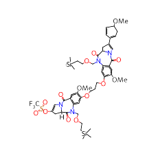 COc1cc2c(cc1OCCCOc1cc3c(cc1OC)C(=O)N1C=C(OS(=O)(=O)C(F)(F)F)C[C@H]1C(=O)N3COCC[Si](C)(C)C)N(COCC[Si](C)(C)C)C(=O)C1CC(C3=CCC(OC)C=C3)=CN1C2=O